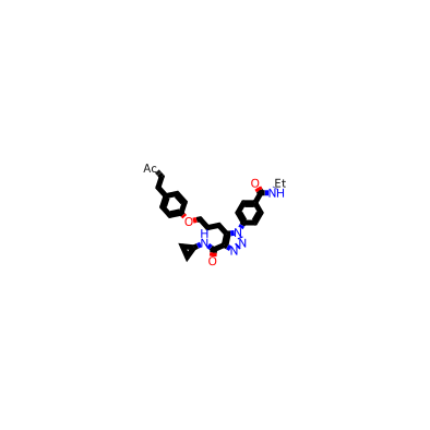 CCNC(=O)c1ccc(-n2nnc(C(=O)NC3CC3)c2CCCOc2ccc(CCC(C)=O)cc2)cc1